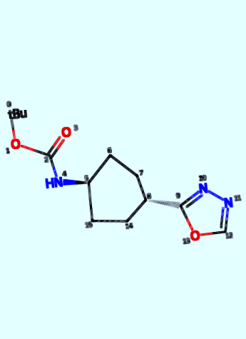 CC(C)(C)OC(=O)N[C@H]1CC[C@H](c2nnco2)CC1